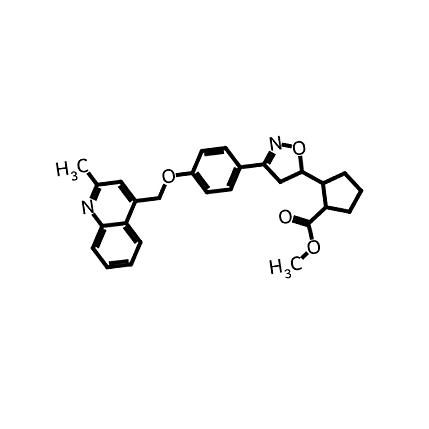 COC(=O)C1CCCC1C1CC(c2ccc(OCc3cc(C)nc4ccccc34)cc2)=NO1